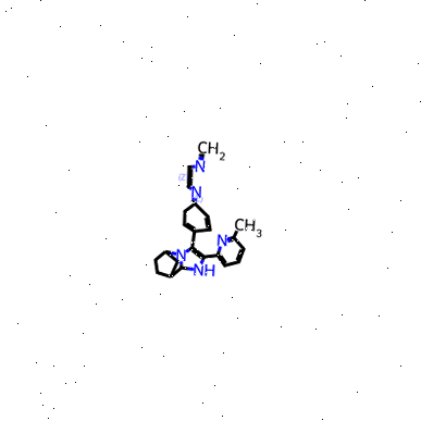 C=N/C=C\N=C1\C=CC(C2=C(c3cccc(C)n3)NC3C4CCC(C4)N23)=CC1